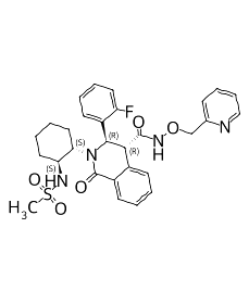 CS(=O)(=O)N[C@H]1CCCC[C@@H]1N1C(=O)c2ccccc2[C@@H](C(=O)NOCc2ccccn2)[C@@H]1c1ccccc1F